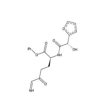 CC(C)OC(=O)[C@H](CCC(=O)C=N)NC(=O)[C@@H](O)c1ccco1